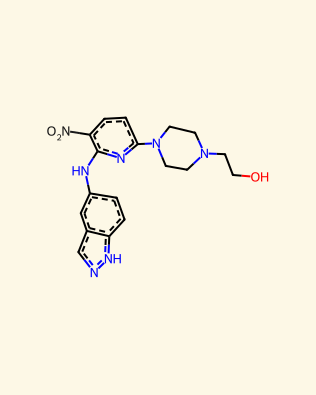 O=[N+]([O-])c1ccc(N2CCN(CCO)CC2)nc1Nc1ccc2[nH]ncc2c1